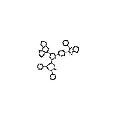 C=C1CC(c2cc(-c3ccc(-c4nc5ccccn5c4-c4ccccc4)cc3)cc(-c3cc4ccccc4c4ccccc34)c2)=CC(c2ccccc2)=CC1c1ccccc1